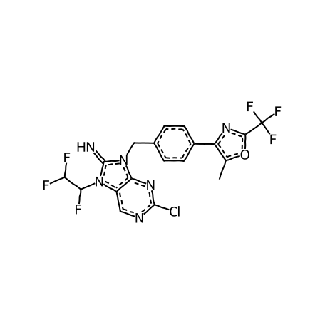 Cc1oc(C(F)(F)F)nc1-c1ccc(Cn2c(=N)n(C(F)C(F)F)c3cnc(Cl)nc32)cc1